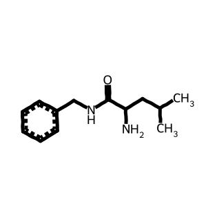 CC(C)CC(N)C(=O)NCc1ccccc1